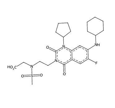 CS(=O)(=O)N(CCn1c(=O)c2cc(F)c(NC3CCCCC3)cc2n(C2CCCC2)c1=O)CC(=O)O